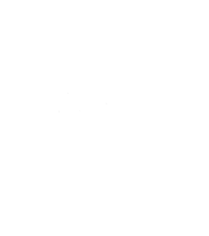 CCCC#CC#CCCOCCOC(=O)OCc1ccccc1